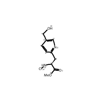 COC(=O)[C@H](Cc1ccc(CO)cn1)NCl